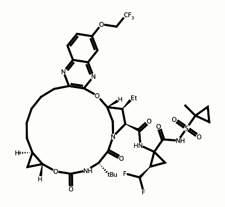 CC[C@@H]1[C@@H]2CN(C(=O)[C@H](C(C)(C)C)NC(=O)O[C@@H]3C[C@H]3CCCCCc3nc4ccc(OCC(F)(F)F)cc4nc3O2)[C@@H]1C(=O)NC1(C(=O)NS(=O)(=O)C2(C)CC2)C[C@H]1C(F)F